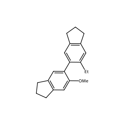 CCc1cc2c(cc1-c1cc3c(cc1OC)CCC3)CCC2